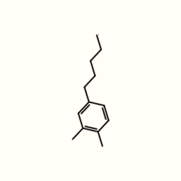 [CH2]CCCCc1ccc(C)c(C)c1